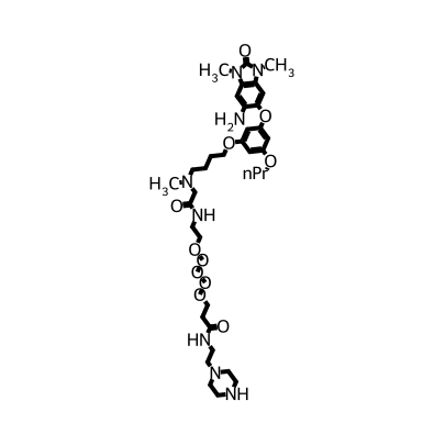 CCCOc1cc(OCCCCN(C)CC(=O)NCCOOOOOCCC(=O)NCCN2CCNCC2)cc(Oc2cc3c(cc2N)n(C)c(=O)n3C)c1